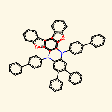 c1ccc(-c2ccc(N(c3cc(-c4ccccc4)c(-c4ccccc4)cc3N(c3ccc(-c4ccccc4)cc3)c3cccc4c3oc3ccccc34)c3cccc4c3oc3ccccc34)cc2)cc1